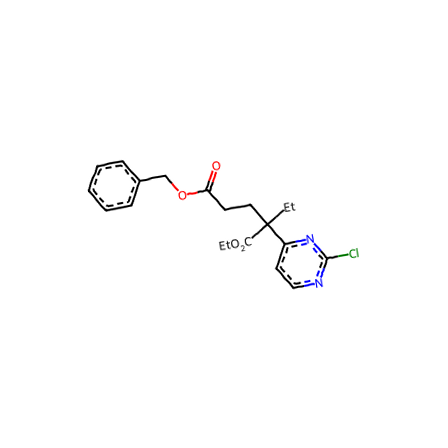 CCOC(=O)C(CC)(CCC(=O)OCc1ccccc1)c1ccnc(Cl)n1